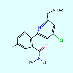 CCN(C(=O)c1cc(F)ccc1-c1cc(Cl)cc(CNC(C)=O)n1)C(C)C